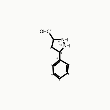 O=CC1CC(c2ccccc2)NN1